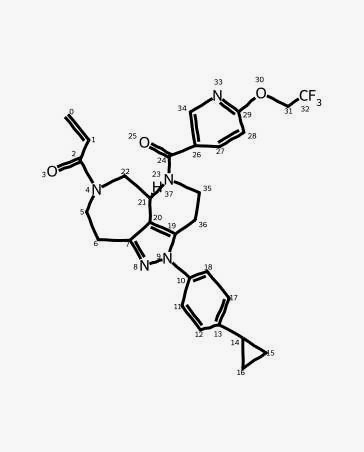 C=CC(=O)N1CCc2nn(-c3ccc(C4CC4)cc3)c3c2[C@@H](C1)N(C(=O)c1ccc(OCC(F)(F)F)nc1)CC3